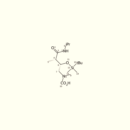 CC(C)NC(=O)[C@@H](C)[C@@H](CN(C)C(=O)O)O[Si](C)(C)C(C)(C)C